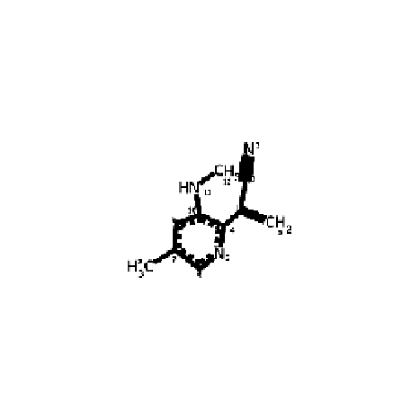 C=C(C#N)c1ncc(C)cc1NC